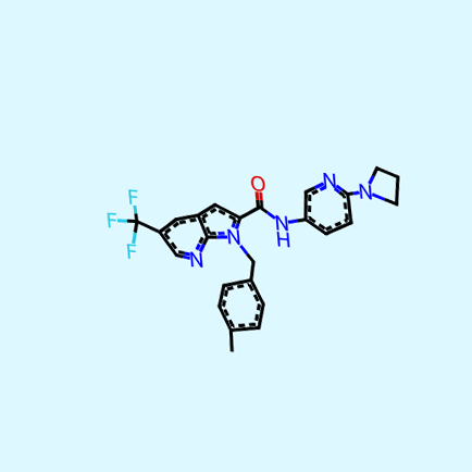 Cc1ccc(Cn2c(C(=O)Nc3ccc(N4CCC4)nc3)cc3cc(C(F)(F)F)cnc32)cc1